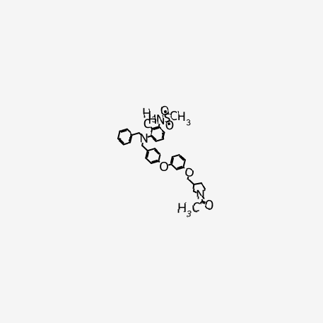 CC(=O)N1CCC(COc2cccc(Oc3ccc(CN(Cc4ccccc4)c4cccc(NS(C)(=O)=O)c4C)cc3)c2)C1